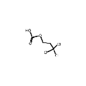 O=C(O)OCCC(Cl)(Cl)Cl